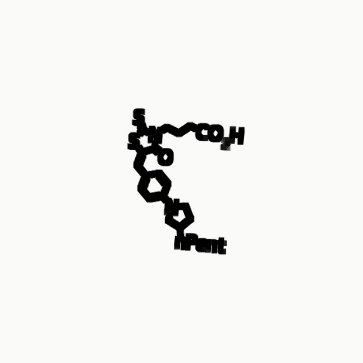 CCCCCC1CCN(c2ccc(C=C3SC(=S)N(CCCC(=O)O)C3=O)cc2)C1